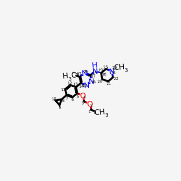 CCOCOc1cc(C2CC2)ccc1-c1nnc(N[C@@H]2CCCN(C)C2)nc1C